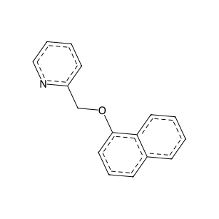 c1ccc(COc2cccc3ccccc23)nc1